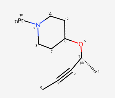 CC#C[C@@H](C)OC1CCN(CCC)CC1